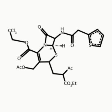 CCOC(=O)C(CC1S[C@@H]2C(NC(=O)Cc3cccs3)C(=O)N2C(C(=O)OCC(Cl)(Cl)Cl)=C1COC(C)=O)C(C)=O